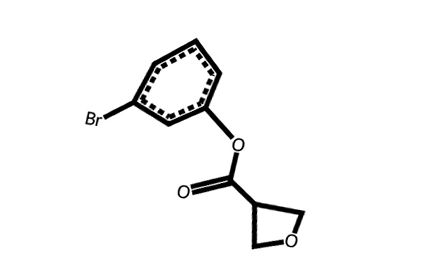 O=C(Oc1cccc(Br)c1)C1COC1